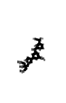 CCC(O)(CC)Cn1cc(-c2cc(C)cc(Nc3nccc(C(F)F)n3)c2)cn1